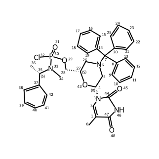 Cc1cn([C@H]2CN(C(c3ccccc3)(c3ccccc3)c3ccccc3)C[C@@H](COP(=O)(Cl)N(C)[C@@H](C)c3ccccc3)O2)c(=O)[nH]c1=O